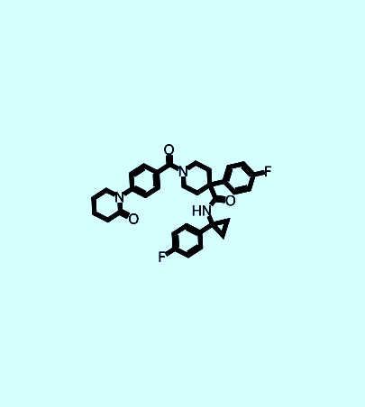 O=C(c1ccc(N2CCCCC2=O)cc1)N1CCC(C(=O)NC2(c3ccc(F)cc3)CC2)(c2ccc(F)cc2)CC1